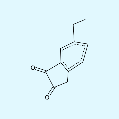 CCc1ccc2c(c1)C(=O)C(=O)C2